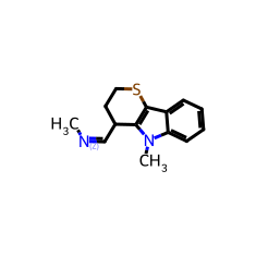 C/N=C\C1CCSc2c1n(C)c1ccccc21